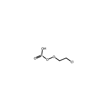 O=[P](O)OOCCCl